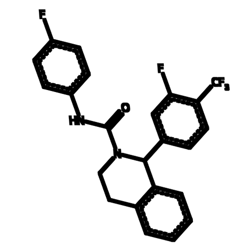 O=C(Nc1ccc(F)cc1)N1CCc2ccccc2C1c1ccc(C(F)(F)F)c(F)c1